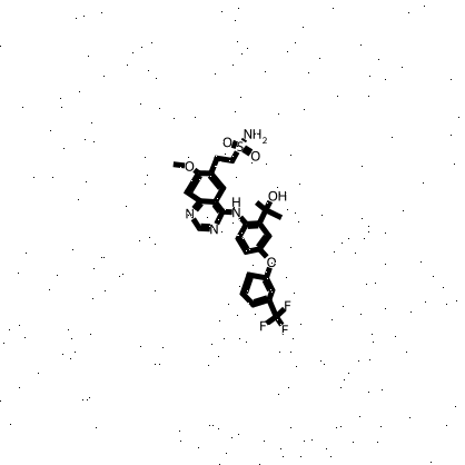 COc1cc2ncnc(Nc3ccc(Oc4cccc(C(F)(F)F)c4)cc3C(C)(C)O)c2cc1CCS(N)(=O)=O